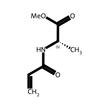 C=CC(=O)N[C@@H](C)C(=O)OC